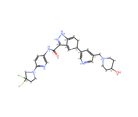 O=C(Nc1ccc(N2CCC(F)(F)C2)nc1)c1n[nH]c2c1=CC(c1cncc(CN3CCC(O)CC3)c1)CC=2